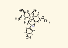 COc1cc(/C=C/c2ccc(O)cc2)c(C(C)c2ccc(O)c(OC)c2)c(OC)c1